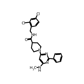 CNc1cc(N2CCC(C(=O)NCc3ccc(Cl)cc3Cl)CC2)nc(-c2ccccc2)n1